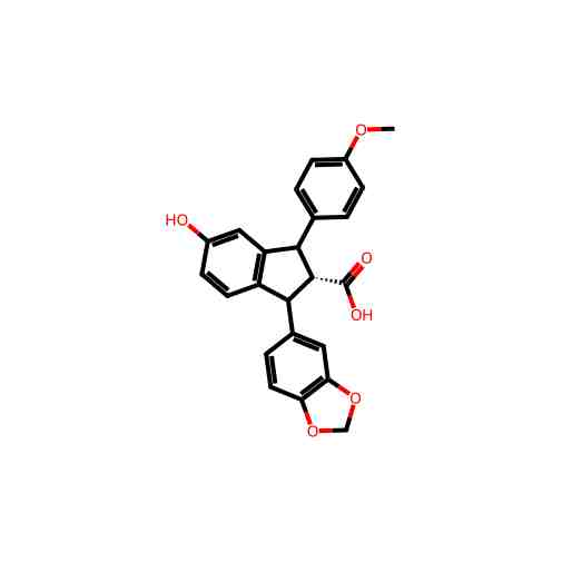 COc1ccc(C2c3cc(O)ccc3C(c3ccc4c(c3)OCO4)[C@H]2C(=O)O)cc1